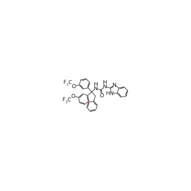 O=C(Nc1nc2ccccc2[nH]1)NC(Cc1ccccc1)(c1cccc(OC(F)(F)F)c1)c1cccc(OC(F)(F)F)c1